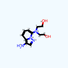 Nc1cnn2c(N(CCO)CCO)cccc12